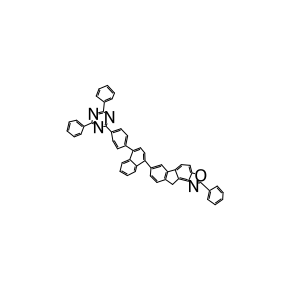 c1ccc(-c2nc(-c3ccccc3)nc(-c3ccc(-c4ccc(-c5ccc6c(c5)-c5ccc7oc(-c8ccccc8)nc7c5C6)c5ccccc45)cc3)n2)cc1